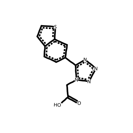 O=C(O)Cn1nnnc1-c1ccc2ccsc2c1